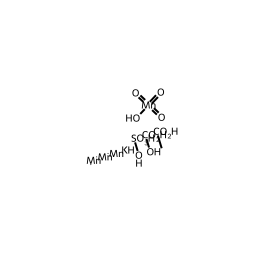 CC(=O)O.O=C(O)O.O=S(=O)(O)O.[KH].[Mn].[Mn].[Mn].[O]=[Mn](=[O])(=[O])[OH]